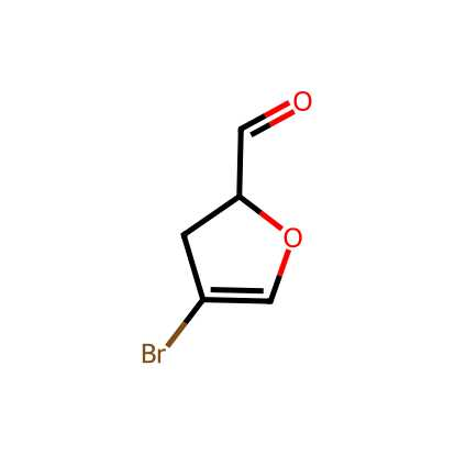 O=CC1CC(Br)=CO1